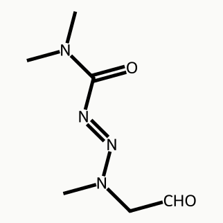 CN(CC=O)N=NC(=O)N(C)C